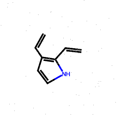 C=Cc1cc[nH]c1C=C